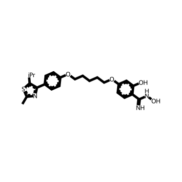 Cc1nc(-c2ccc(OCCCCCOc3ccc(C(=N)NO)c(O)c3)cc2)c(C(C)C)s1